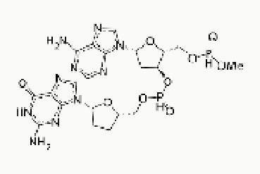 CO[PH](=O)OC[C@H]1O[C@@H](n2cnc3c(N)ncnc32)C[C@@H]1O[PH](=O)OC[C@@H]1CC[C@H](n2cnc3c(=O)[nH]c(N)nc32)O1